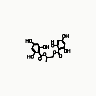 CC(COC(=O)c1c(O)cc(O)cc1O)OC(=O)c1c(O)cc(O)cc1O